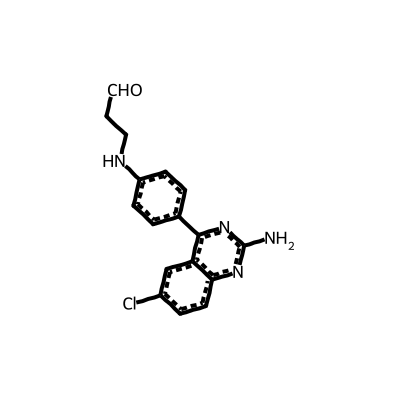 Nc1nc(-c2ccc(NCCC=O)cc2)c2cc(Cl)ccc2n1